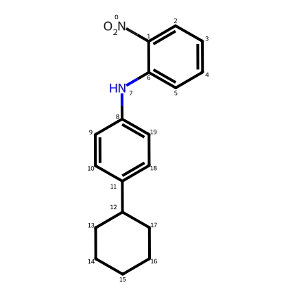 O=[N+]([O-])c1ccccc1Nc1ccc(C2CCCCC2)cc1